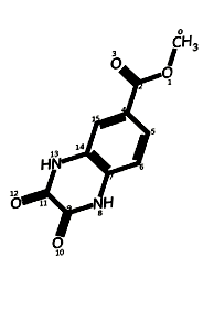 COC(=O)c1ccc2[nH]c(=O)c(=O)[nH]c2c1